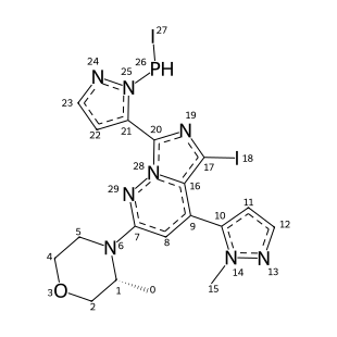 C[C@@H]1COCCN1c1cc(-c2ccnn2C)c2c(I)nc(-c3ccnn3PI)n2n1